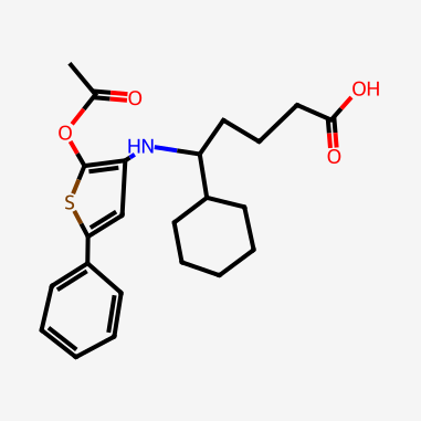 CC(=O)Oc1sc(-c2ccccc2)cc1NC(CCCC(=O)O)C1CCCCC1